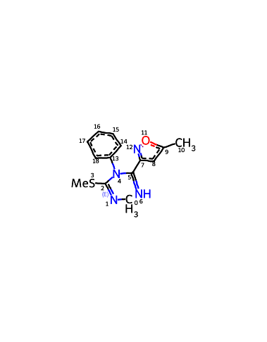 C/N=C(/SC)N(C(=N)c1cc(C)on1)c1ccccc1